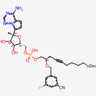 CCCCCCCCCCCCCCC#CC[C@H](COP(=O)(O)OC[C@H]1O[C@@](C)(c2ccc3c(N)ncnn23)[C@H](O)[C@@H]1O)OCc1cc(F)cc(C#N)c1